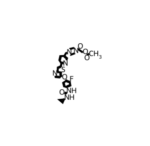 CC(=O)OCC(=O)N1CCN(Cc2ccc(-c3cc4nccc(Oc5ccc(NC(=O)NC6CC6)cc5F)c4s3)nc2)CC1